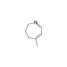 CC1=CC=NCCC1